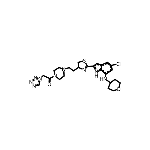 O=C(Cn1cnnn1)N1CCN(CCC2CSC(c3cc4cc(Cl)cc(NC5CCOCC5)c4[nH]3)=N2)CC1